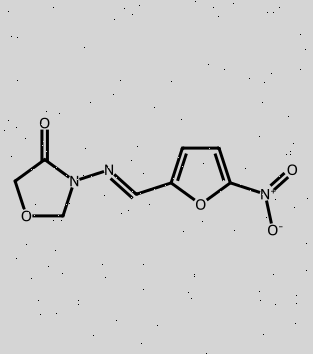 O=C1COCN1N=Cc1ccc([N+](=O)[O-])o1